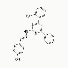 Oc1ccc(C=NNc2nc(-c3ccccc3)cc(-c3ccccc3C(F)(F)F)n2)cc1